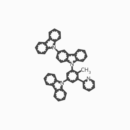 Cc1c(-c2ccccn2)cc(-n2c3ccccc3c3ccccc32)cc1-n1c2ccccc2c2cc(-n3c4ccccc4c4ccccc43)ccc21